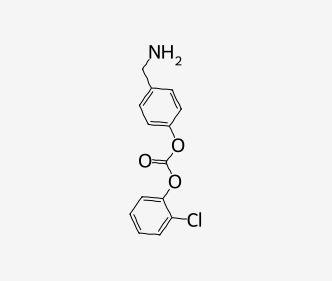 NCc1ccc(OC(=O)Oc2ccccc2Cl)cc1